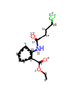 CCOC(=O)c1ccccc1NC(=O)CCCCl